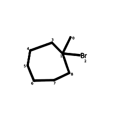 CC1(Br)CCCCCC1